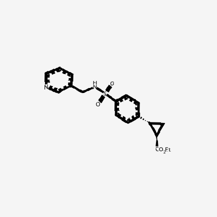 CCOC(=O)[C@@H]1C[C@H]1c1ccc(S(=O)(=O)NCc2cccnc2)cc1